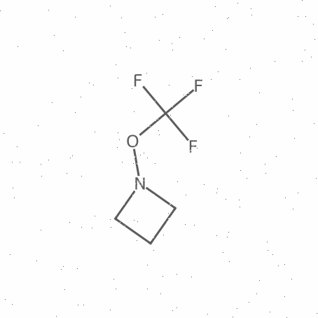 FC(F)(F)ON1CCC1